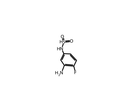 Nc1cc(N[SH](=O)=O)ccc1F